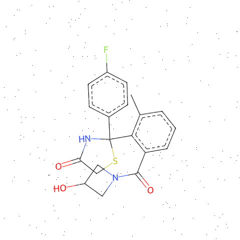 Cc1cccc(C(=O)N2CC(O)C2)c1C1(c2ccc(F)cc2)NC(=O)CS1